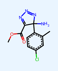 COC(=O)C1=NN=NC1(N)c1ccc(Cl)cc1C